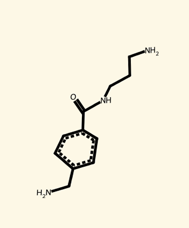 NCCCNC(=O)c1ccc(CN)cc1